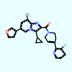 O=C(c1nc2c(C(F)(F)F)cc(-c3ccoc3)cn2c1C1CC1)N1CC=C(c2ncccc2F)CC1